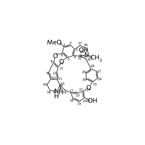 COc1cc2c3c4c1Oc1cc5c(cc1O4)[C@H](Cc1ccc(O)c(c1)Oc1ccc(cc1)C[C@]3(O)N(C)CC2)NCC5